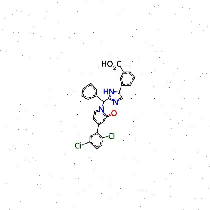 O=C(O)c1cccc(-c2cnc(C(c3ccccc3)n3ccc(-c4cc(Cl)ccc4Cl)cc3=O)[nH]2)c1